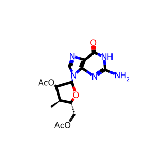 CC(=O)OC[C@H]1O[C@@H](n2cnc3c(=O)[nH]c(N)nc32)[C@H](OC(C)=O)[C@@H]1C